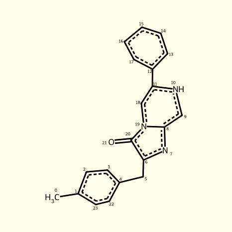 Cc1ccc(Cc2nc3c[nH]c(-c4ccccc4)cn-3c2=O)cc1